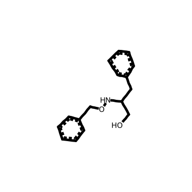 OCC(Cc1ccccc1)NOCc1ccccc1